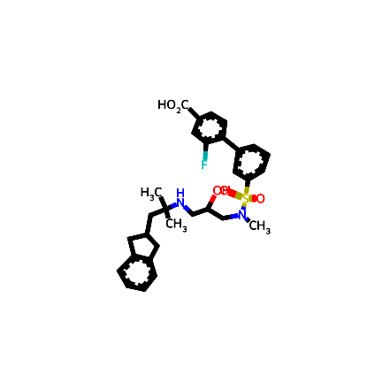 CN(CC(O)CNC(C)(C)CC1Cc2ccccc2C1)S(=O)(=O)c1cccc(-c2ccc(C(=O)O)cc2F)c1